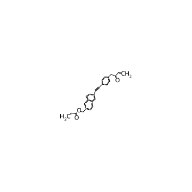 C=CC(=O)Cc1ccc(C#Cc2ccc3cc(COC(=O)C=C)ccc3c2)cc1